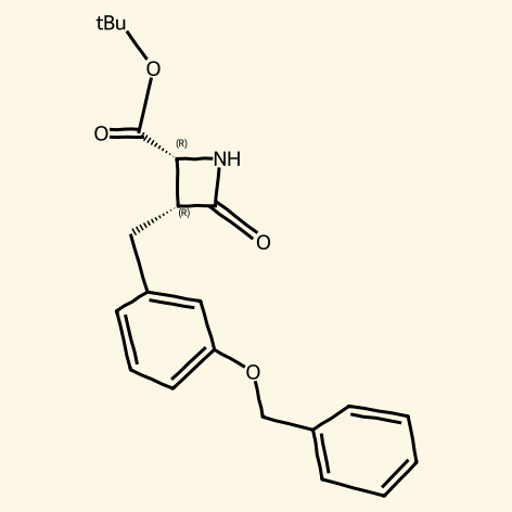 CC(C)(C)OC(=O)[C@@H]1NC(=O)[C@@H]1Cc1cccc(OCc2ccccc2)c1